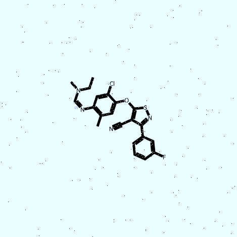 CCN(C)/C=N\c1cc(Cl)c(Oc2snc(-c3cccc(F)c3)c2C#N)cc1C